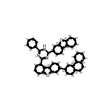 c1ccc(C2=NC(c3cccc4oc5cc(-c6ccc7ccc8ccccc8c7c6)ccc5c34)=NC(c3ccc4c(c3)oc3ccccc34)N2)cc1